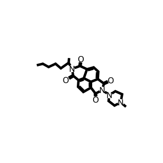 CCCCCC(C)N1C(=O)c2ccc3c4c(ccc(c24)C1=O)C(=O)N(N1CCN(C)CC1)C3=O